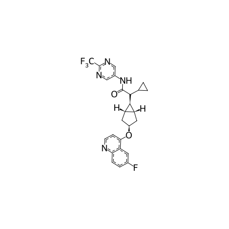 O=C(Nc1cnc(C(F)(F)F)nc1)C(C1CC1)[C@H]1[C@@H]2C[C@@H](Oc3ccnc4ccc(F)cc34)C[C@@H]21